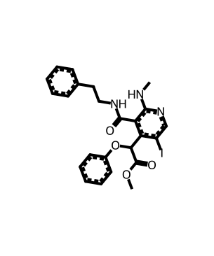 CNc1ncc(I)c(C(Oc2ccccc2)C(=O)OC)c1C(=O)NCCc1ccccc1